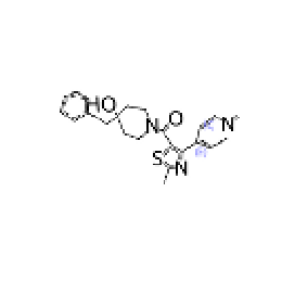 C=N/C=C\C(=C/C)c1nc(C)sc1C(=O)N1CCC(O)(Cc2ccccc2)CC1